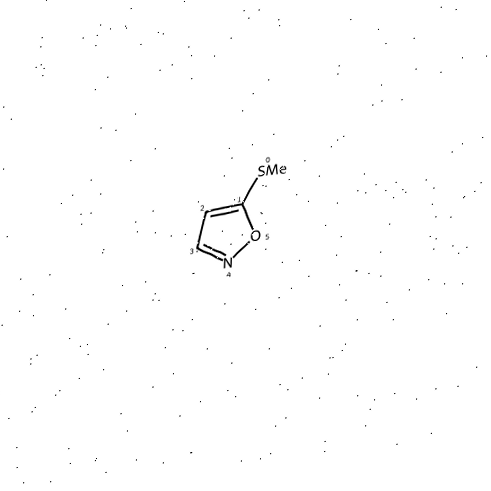 CSc1c[c]no1